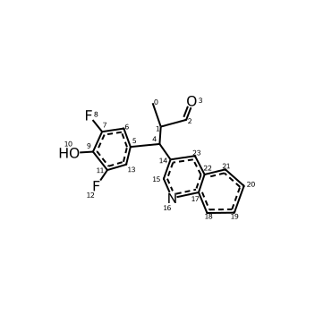 CC(C=O)C(c1cc(F)c(O)c(F)c1)c1cnc2ccccc2c1